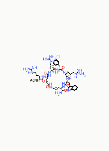 CC(=O)N[C@@H](CCCNC(=N)N)C(=O)N[C@H]1CCC(=O)NCCC[C@@H](C(N)=O)NC(=O)[C@H](Cc2c[nH]c3ccccc23)NC(=O)[C@H](CCCNC(=N)N)NC(=O)[C@@H](Cc2cccc(Cl)c2)NC(=O)[C@H](CCCNC(=N)N)NC1=O